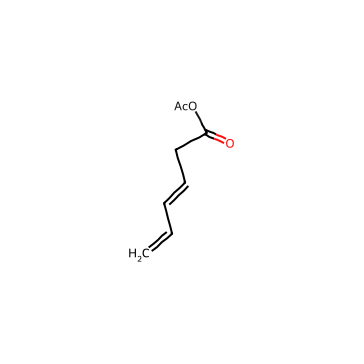 C=CC=CCC(=O)OC(C)=O